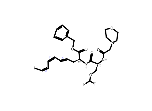 O=C(CN1CCOCC1)N[C@@H](COC(F)F)C(=O)N[C@@H](C/C=C/C=C\C=C/I)C(=O)OCc1ccccc1